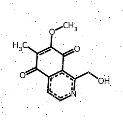 COC1=C(C)C(=O)c2ccnc(CO)c2C1=O